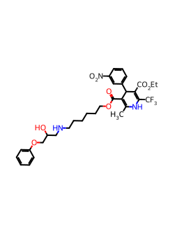 CCOC(=O)C1=C(C(F)(F)F)NC(C)=C(C(=O)OCCCCCCNCC(O)COc2ccccc2)C1c1cccc([N+](=O)[O-])c1